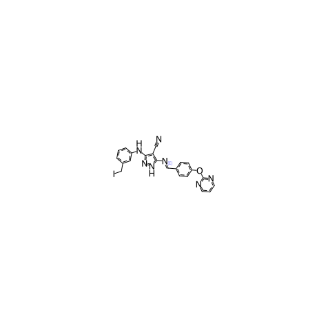 N#Cc1c(Nc2cccc(CI)c2)n[nH]c1/N=C/c1ccc(Oc2ncccn2)cc1